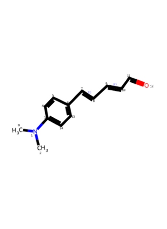 CN(C)c1ccc(/C=C/C=C/[C]=O)cc1